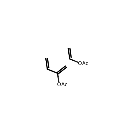 C=CC(=C)OC(C)=O.C=COC(C)=O